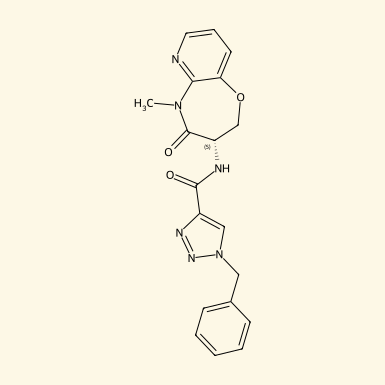 CN1C(=O)[C@@H](NC(=O)c2cn(Cc3ccccc3)nn2)COc2cccnc21